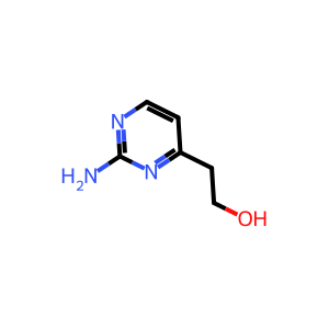 Nc1nccc(CCO)n1